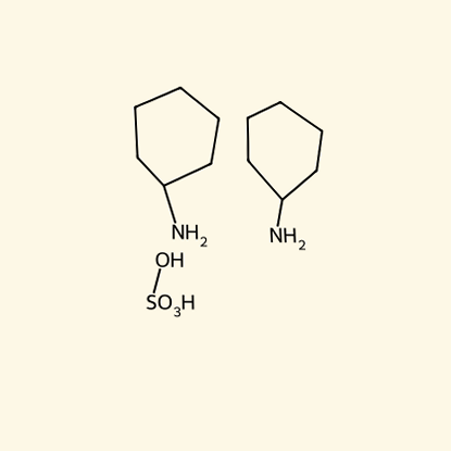 NC1CCCCC1.NC1CCCCC1.O=S(=O)(O)O